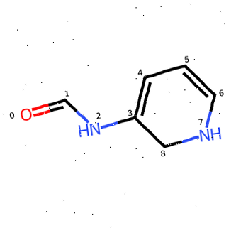 O=CNC1=CC=CNC1